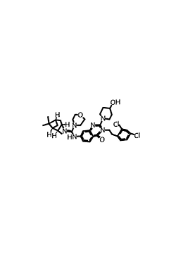 C[C@@H]1[C@@H](/N=C(/Nc2ccc3c(=O)n(CCc4ccc(Cl)cc4Cl)c(N4CCC(O)CC4)nc3c2)N2CCOCC2)C[C@@H]2C[C@H]1C2(C)C